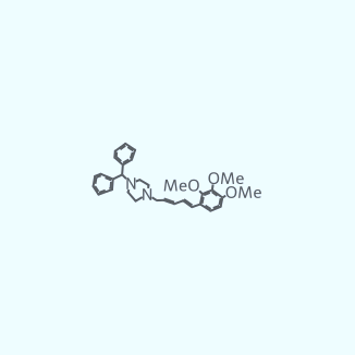 COc1ccc(C=CC=CCN2CCN(C(c3ccccc3)c3ccccc3)CC2)c(OC)c1OC